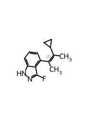 C/C(=C(\C)C1CC1)c1cccc2[nH]nc(F)c12